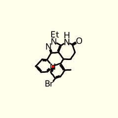 CCn1nc(-c2ccccn2)c2c1NC(=O)CCC2c1ccc(Br)cc1C